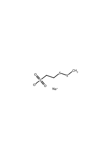 CSSCCS(=O)(=O)[O-].[Na+]